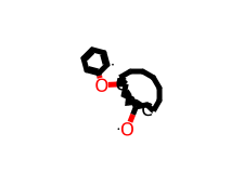 [O]C1CCC(Oc2[c]cccc2)C2CCCCCC(CCCCC2)C1